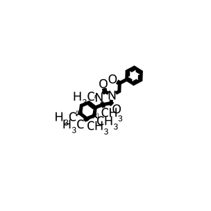 C[C@@H]1CC=C(C2(C)C(=O)N(CC(=O)c3ccccc3)C(=O)N2C)[C@H](C)C1(C)C